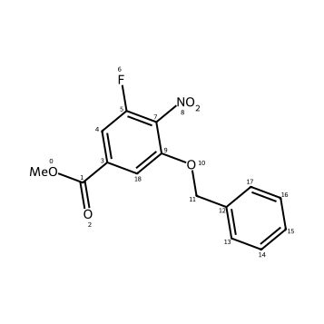 COC(=O)c1cc(F)c([N+](=O)[O-])c(OCc2ccccc2)c1